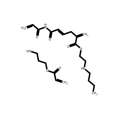 C=CC(=O)NC(=O)C=CCC(=C)C(=O)OCCNCCCC.C=CC(=O)OCCCO